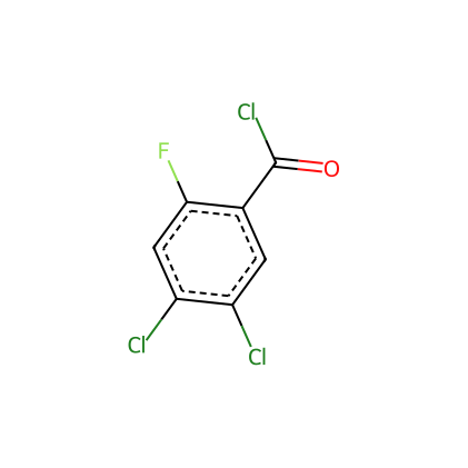 O=C(Cl)c1cc(Cl)c(Cl)cc1F